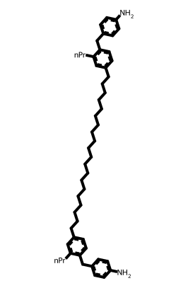 CCCc1cc(CCCCCCCCCCCCCCCCCCCCc2ccc(Cc3ccc(N)cc3)c(CCC)c2)ccc1Cc1ccc(N)cc1